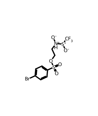 O=S(=O)(OCC[NH+]([O-])[S+]([O-])C(F)(F)F)c1ccc(Br)cc1